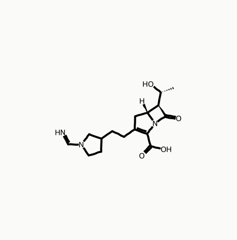 C[C@@H](O)[C@H]1C(=O)N2C(C(=O)O)=C(CCC3CCN(C=N)C3)C[C@H]12